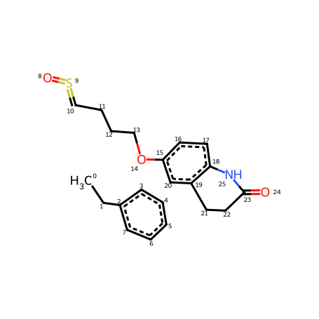 CCc1ccccc1.O=S=CCCCOc1ccc2c(c1)CCC(=O)N2